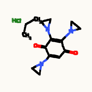 CCC.Cl.O=C1C=C(N2CC2)C(=O)C(N2CC2)=C1N1CC1